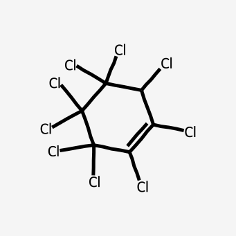 ClC1=C(Cl)C(Cl)(Cl)C(Cl)(Cl)C(Cl)(Cl)C1Cl